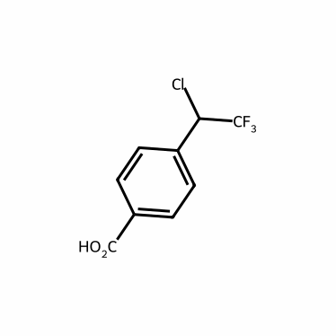 O=C(O)c1ccc(C(Cl)C(F)(F)F)cc1